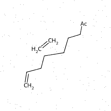 C=C.C=CCCCCCC(C)=O